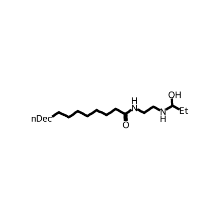 CCCCCCCCCCCCCCCCCC(=O)NCCNC(O)CC